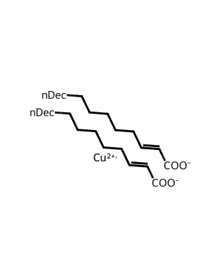 CCCCCCCCCCCCCCCC=CC(=O)[O-].CCCCCCCCCCCCCCCC=CC(=O)[O-].[Cu+2]